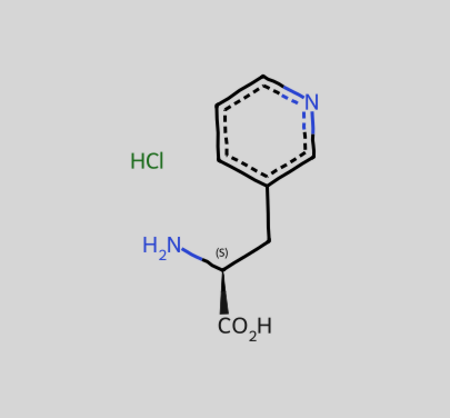 Cl.N[C@@H](Cc1cccnc1)C(=O)O